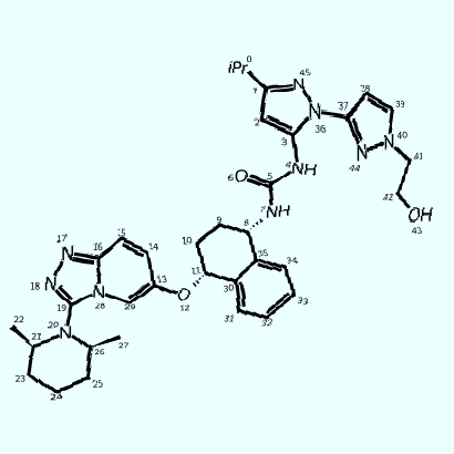 CC(C)c1cc(NC(=O)N[C@H]2CC[C@@H](Oc3ccc4nnc(N5[C@H](C)CCC[C@@H]5C)n4c3)c3ccccc32)n(-c2ccn(CCO)n2)n1